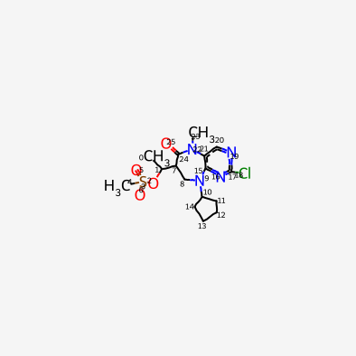 CC(OS(C)(=O)=O)C1CN(C2CCCC2)c2nc(Cl)ncc2N(C)C1=O